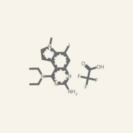 CCN(CC)c1nc(N)nc2cc(I)c3c(ccn3C)c12.O=C(O)C(F)(F)F